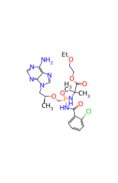 CCOCCOC(=O)C(C)(C)NP(=O)(CO[C@@H](C)Cn1cnc2c(N)ncnc21)NC(=O)c1ccccc1Cl